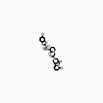 O=C(CN1CCC[C@H](NS(=O)(=O)c2nc3cc(Cl)ccc3s2)C1=O)N1CC2C[C@@H](C1)Cn1c2cccc1=O